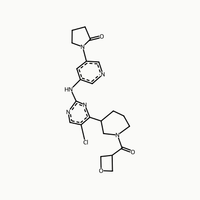 O=C(C1COC1)N1CCCC(c2nc(Nc3cncc(N4CCCC4=O)c3)ncc2Cl)C1